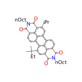 CCCCCCCCN1C(=O)c2ccc3c4c(C(C)(C)CC)cc5c6c(ccc(c7cc(C(C)C)c(c2c73)C1=O)c64)C(=O)N(CCCCCCCC)C5=O